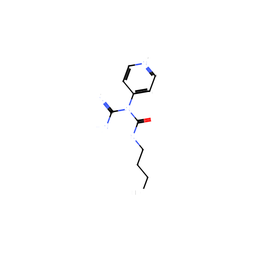 CCCCNC(=O)N(C(=N)N)c1ccncc1